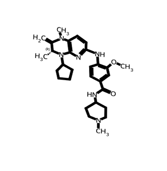 C=C1[C@@H](C)N(C2CCCC2)c2nc(Nc3ccc(C(=O)NC4CCN(C)CC4)cc3OC)ccc2N1C